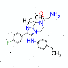 CCc1ccc(Nc2c(-c3ccc(F)cc3)nc3n2CCN(C(=O)CN)C3(C)C)cc1